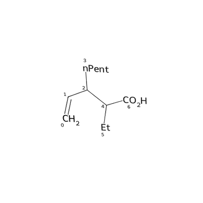 C=CC(CCCCC)C(CC)C(=O)O